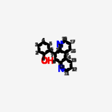 Oc1ccccc1-c1cc2ncccc2c2cccnc12